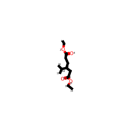 CCOC(=O)CCC(CC(=O)OCC)C(C)C